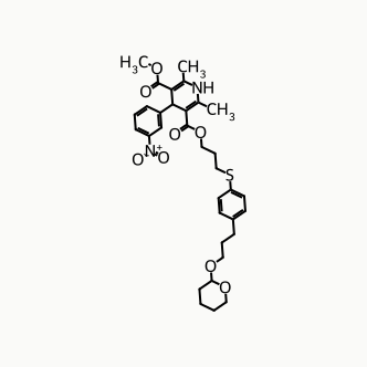 COC(=O)C1=C(C)NC(C)=C(C(=O)OCCCSc2ccc(CCCOC3CCCCO3)cc2)C1c1cccc([N+](=O)[O-])c1